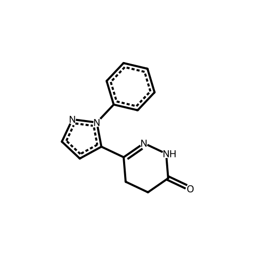 O=C1CCC(c2ccnn2-c2ccccc2)=NN1